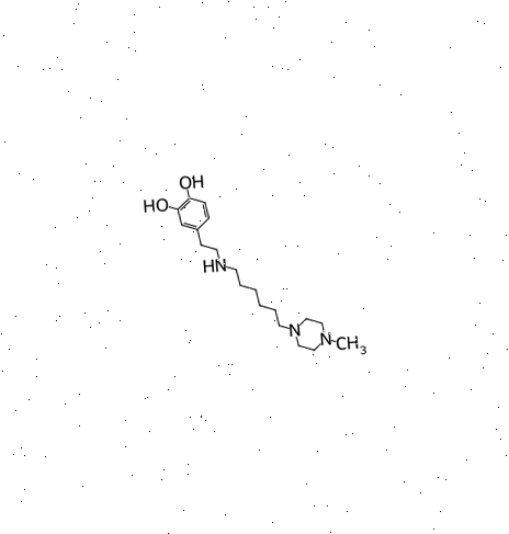 CN1CCN(CCCCCCNCCc2ccc(O)c(O)c2)CC1